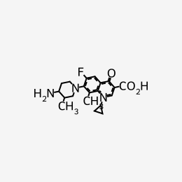 Cc1c(N2CCC(N)C(C)C2)c(F)cc2c(=O)c(C(=O)O)cn(C3CC3)c12